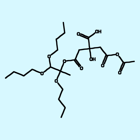 CCCCOC(OCCCC)C(C)(OCCCC)OC(=O)CC(O)(CC(=O)OC(C)=O)C(=O)O